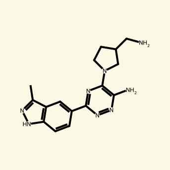 Cc1n[nH]c2ccc(-c3nnc(N)c(N4CCC(CN)C4)n3)cc12